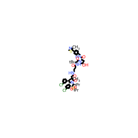 Cc1ncsc1-c1ccc(CNC(=O)[C@@H]2C[C@@H](O)CN2C(=O)[C@@H](NC(=O)CCCNC(=O)C[C@@]2(C)C[C@H](c3cccc(Cl)c3)[C@@H](c3ccc(Cl)cc3)N([C@H](CS(=O)(=O)C(C)C)C(C)C)C2=O)C(C)(C)C)cc1